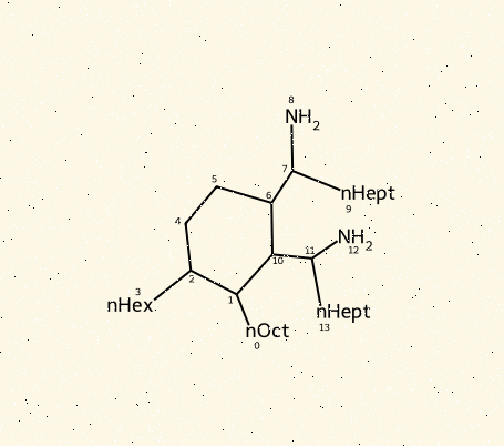 CCCCCCCCC1C(CCCCCC)CCC(C(N)CCCCCCC)C1C(N)CCCCCCC